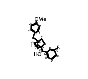 COc1ccc(CC23CCC([C@@H](O)c4cccc(F)c4)(CC2)N3)cc1